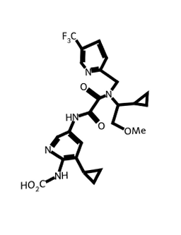 COCC(C1CC1)N(Cc1ccc(C(F)(F)F)cn1)C(=O)C(=O)Nc1cnc(NC(=O)O)c(C2CC2)c1